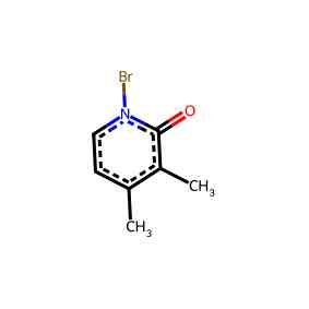 Cc1ccn(Br)c(=O)c1C